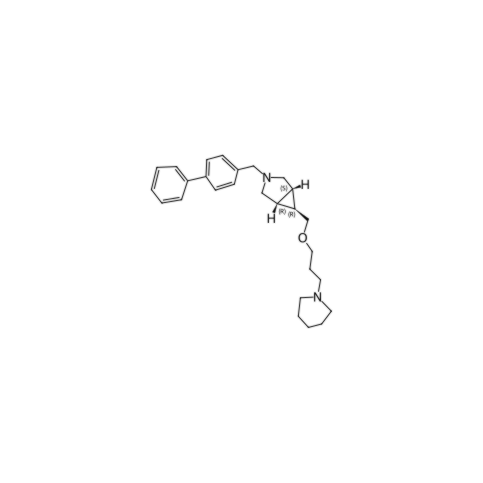 c1ccc(-c2ccc(CN3C[C@@H]4[C@@H](COCCCN5CCCCC5)[C@@H]4C3)cc2)cc1